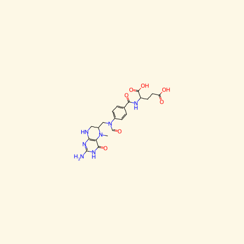 CN1c2c(nc(N)[nH]c2=O)NCC1CN(C=O)c1ccc(C(=O)NC(CCC(=O)O)C(=O)O)cc1